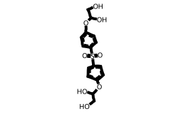 O=S(=O)(c1ccc(OC(O)CO)cc1)c1ccc(OC(O)CO)cc1